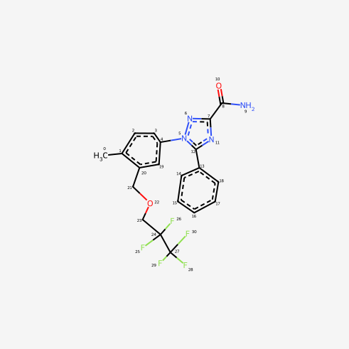 Cc1ccc(-n2nc(C(N)=O)nc2-c2ccccc2)cc1COCC(F)(F)C(F)(F)F